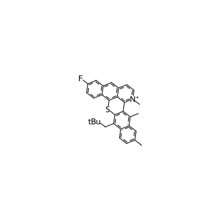 Cc1ccc2c(CC(C)(C)C)c3c(c(C)c2c1)-c1c2c(c4ccc(F)cc4cc2cc[n+]1C)S3